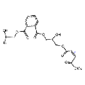 CCC(O)COC(=O)c1ccccc1C(=O)OCC(O)COC(=O)/C=C\C(=O)OC